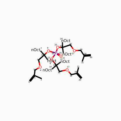 C=C(C)COCC(CCCCCCCC)(CCCCCCCC)OP(=O)(OC(CCCCCCCC)(CCCCCCCC)COCC(=C)C)OC(CCCCCCCC)(CCCCCCCC)COCC(=C)C